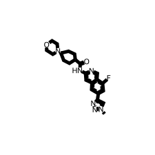 Cn1cc(-c2cc(F)c3cnc(NC(=O)C4CCC(N5CCOCC5)CC4)cc3c2)nn1